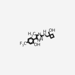 Cc1nc(NCC2(CO)CCC2)nnc1-c1ccc(C(F)(F)F)cc1O